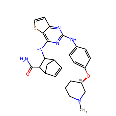 CN1CCC[C@@H](Oc2ccc(Nc3nc(NC4C5C=CC(C5)C4C(N)=O)c4sccc4n3)cc2)C1